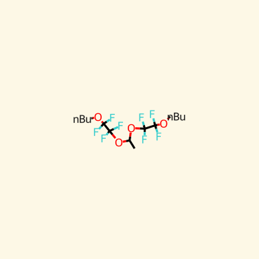 CCCCOC(F)(F)C(F)(F)OC(C)OC(F)(F)C(F)(F)OCCCC